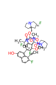 C#Cc1c(F)ccc2cc(O)cc(-c3c(F)c(OC)c4c(N5CC6CCC(C5)N6C(=O)OC(C)OC(=O)C(C)C)nc(OC[C@@]56CCCN5C[C@H](F)C6)nc4c3F)c12